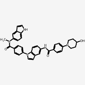 CN(C(=O)c1ccc(-n2ccc3cc(NC(=O)c4ccc(N5CCC(O)CC5)cc4)ccc32)cc1)c1ccc2[nH]ccc2c1